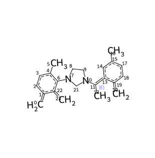 C=c1ccc(C)c(N2CCN(/C(C)=c3\cc(C)ccc3=C)C2)c1=C